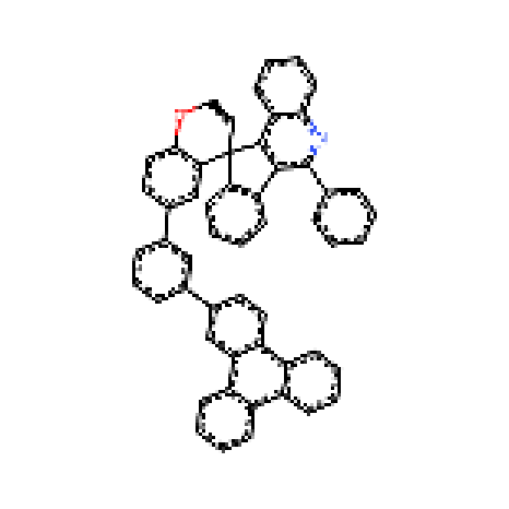 c1ccc(-c2nc3ccccc3c3c2-c2ccccc2C32c3ccccc3Oc3ccc(-c4cccc(-c5ccc6c7ccccc7c7ccccc7c6c5)c4)cc32)cc1